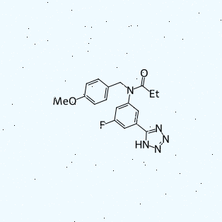 CCC(=O)N(Cc1ccc(OC)cc1)c1cc(F)cc(-c2nnn[nH]2)c1